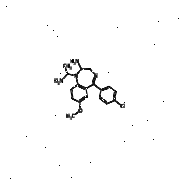 COc1ccc2c(c1)C(c1ccc(Cl)cc1)=NCC(N)N2C(C)N